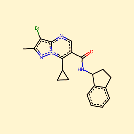 Cc1nn2c(C3CC3)c(C(=O)NC3CCc4ccccc43)cnc2c1Br